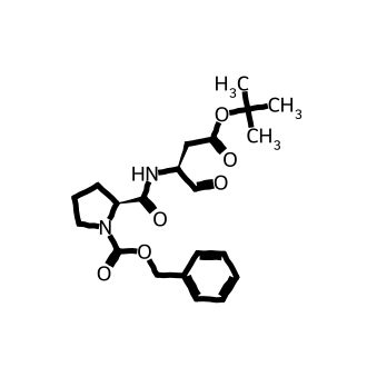 CC(C)(C)OC(=O)C[C@@H](C=O)NC(=O)[C@@H]1CCCN1C(=O)OCc1ccccc1